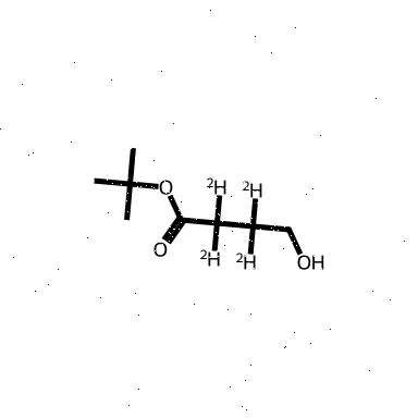 [2H]C([2H])(CO)C([2H])([2H])C(=O)OC(C)(C)C